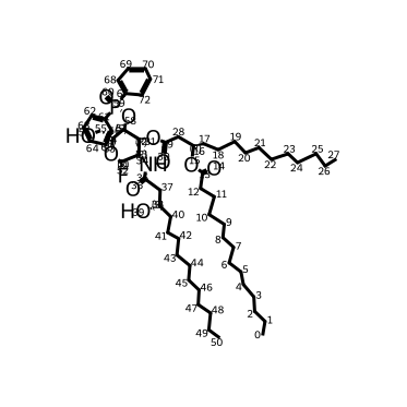 CCCCCCCCCCCCCC(=O)O[C@H](CCCCCCCCCCC)CC(=O)O[C@@H]1[C@@H](NC(=O)C[C@@H](O)CCCCCCCCCCC)[C@@H](F)O[C@H](CO)[C@H]1OP(=O)(c1ccccc1)c1ccccc1